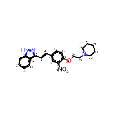 O=[N+]([O-])c1cc(C=Cc2n[nH]c3ccccc23)ccc1OCCN1CCCCC1